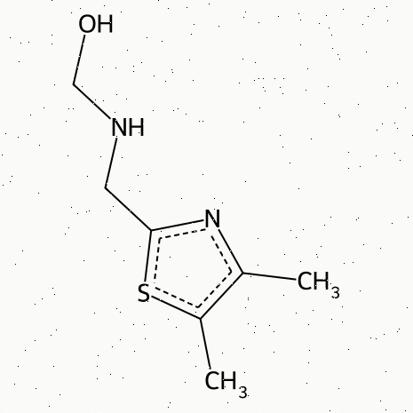 Cc1nc(CNCO)sc1C